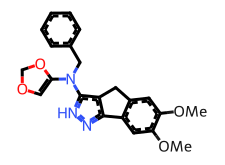 COc1cc2c(cc1OC)-c1n[nH]c(N(Cc3ccccc3)C3=COCO3)c1C2